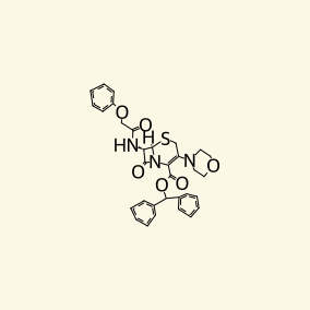 O=C(COc1ccccc1)N[C@@H]1C(=O)N2C(C(=O)OC(c3ccccc3)c3ccccc3)=C(N3CCOCC3)CS[C@H]12